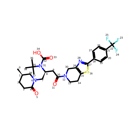 C[C@@H]1CCC(=O)N(C[C@H](CC(=O)N2CCc3sc(-c4ccc(C(F)(F)F)cc4)nc3C2)N(C(=O)O)C(C)(C)C)C1